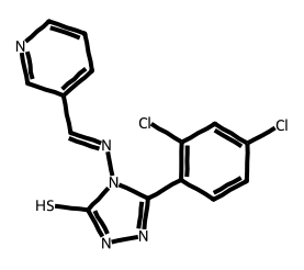 Sc1nnc(-c2ccc(Cl)cc2Cl)n1/N=C/c1cccnc1